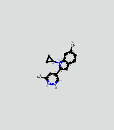 CC(=O)c1cc(-c2cc3ccc(C#N)cc3n2C2CC2)cnn1